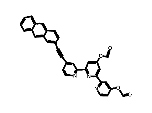 O=COc1ccnc(-c2cc(OC=O)cc(-c3cc(C#Cc4ccc5cc6ccccc6cc5c4)ccn3)n2)c1